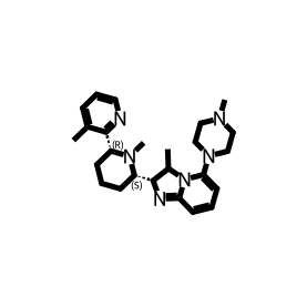 Cc1cccnc1[C@H]1CCC[C@@H](C2N=C3C=CC=C(N4CCN(C)CC4)N3C2C)N1C